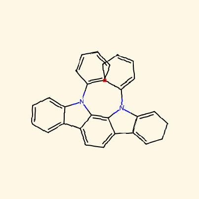 C1=CCCC(n2c3c(c4ccc5c6ccccc6n(-c6ccccc6)c5c42)=CCCC=3)=C1